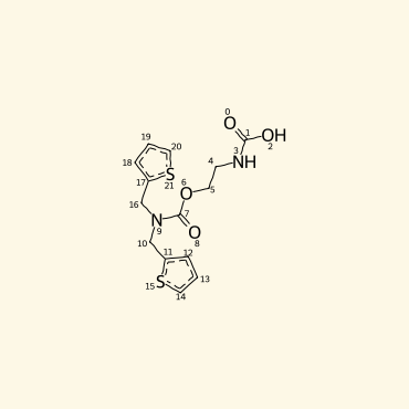 O=C(O)NCCOC(=O)N(Cc1cccs1)Cc1cccs1